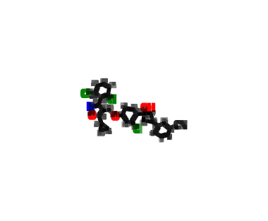 N#Cc1cccc(C2CC(O)(c3ccc(OCc4c(-c5c(Cl)cccc5Cl)noc4C4CC4)cc3Cl)C2)c1